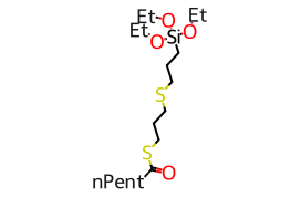 CCCCCC(=O)SCCCSCCC[Si](OCC)(OCC)OCC